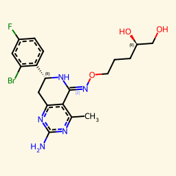 Cc1nc(N)nc2c1/C(=N/OCCC[C@@H](O)CO)N[C@@H](c1ccc(F)cc1Br)C2